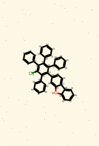 Clc1c(-c2ccccc2)c(-c2ccccc2)c(-c2ccccc2)c(-c2ccc3c(c2)oc2ccccc23)c1-c1ccccc1